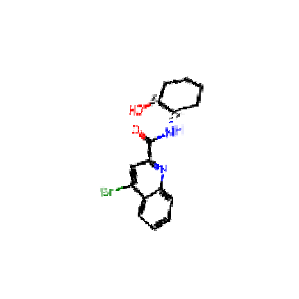 O=C(N[C@H]1CCCC[C@@H]1O)c1cc(Br)c2ccccc2n1